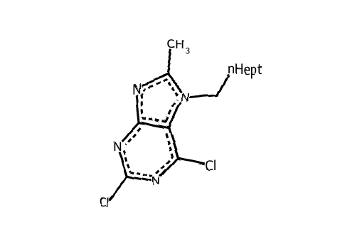 CCCCCCCCn1c(C)nc2nc(Cl)nc(Cl)c21